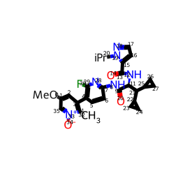 COc1cc(-c2ccc(NC(=O)[C@@H](NC(=O)c3ccnn3C(C)C)C(C3CC3)C3CC3)nc2F)c(C)[n+]([O-])c1